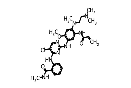 C=CC(=O)Nc1cc(Nc2ncc(Cl)c(Nc3ccccc3C(=O)NC)n2)c(OC)cc1N(C)CCN(C)C